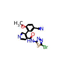 COc1ccc(C#N)cc1-c1cnccc1C(=O)Nc1nnc(Br)s1